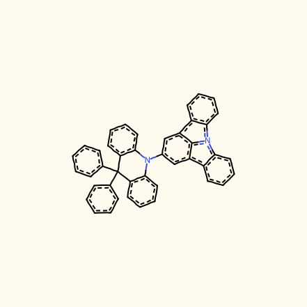 c1ccc(C2(c3ccccc3)c3ccccc3N(c3cc4c5ccccc5n5c6ccccc6c(c3)c45)c3ccccc32)cc1